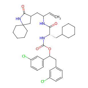 C=CC(CC1CC2(CCCCC2)NC1=O)NC(=O)[C@H](CC1CCCCC1)NC(=O)OC(Cc1cccc(Cl)c1)c1cccc(Cl)c1